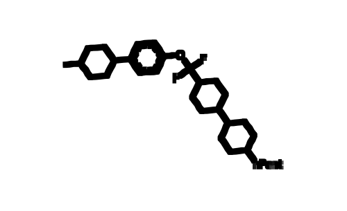 CCCCCC1CCC(C2CCC(C(F)(F)Oc3ccc(C4CCC(C)CC4)cc3)CC2)CC1